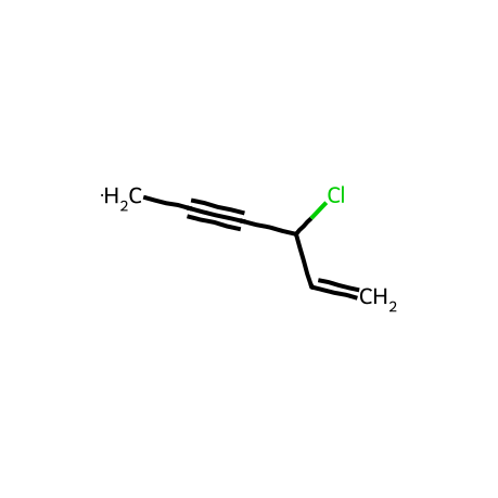 [CH2]C#CC(Cl)C=C